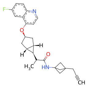 C#CCC12CC(NC(=O)C(C)[C@H]3[C@@H]4C[C@@H](Oc5ccnc6ccc(F)cc56)C[C@@H]43)(C1)C2